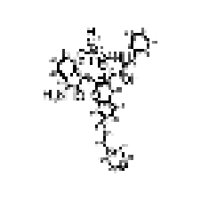 CC(C)(C)OC(=O)NC(Cc1ccccc1)C(O)CC(Cc1ccc(OCCN2CCOCC2)cc1)C(=O)NC1c2ccccc2C(N)C1O